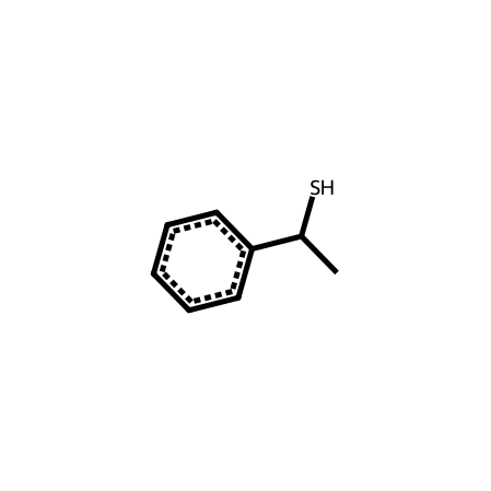 CC(S)c1ccccc1